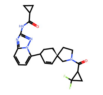 O=C(Nc1nc2cccc(C3C=C[C@]4(CC3)CCN(C(=O)C3CC3(F)F)C4)n2n1)C1CC1